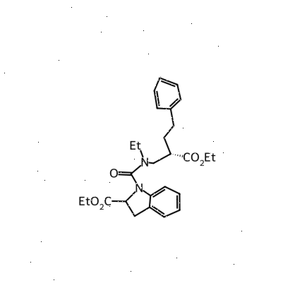 CCOC(=O)C1Cc2ccccc2N1C(=O)N(CC)C[C@H](CCc1ccccc1)C(=O)OCC